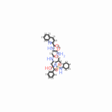 CC(C)CN(C(O)(CCNC(=O)C[C@H](NC(=O)c1ccc2ccccc2n1)C(N)=O)Cc1ccccc1)S(=O)(=O)NC1CCCCC1